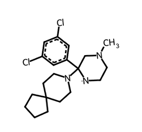 CN1CC[N]C(c2cc(Cl)cc(Cl)c2)(N2CCC3(CCCC3)CC2)C1